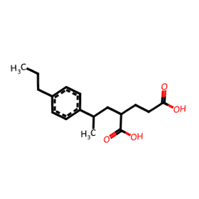 CCCc1ccc(C(C)CC(CCC(=O)O)C(=O)O)cc1